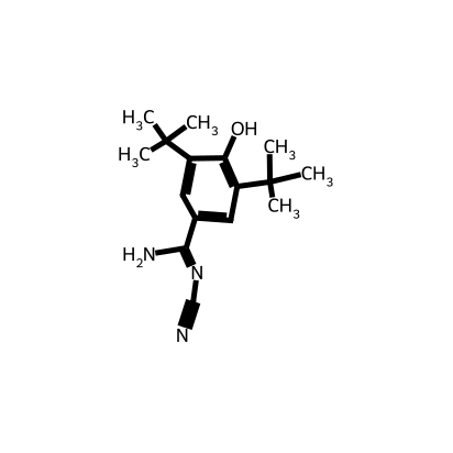 CC(C)(C)c1cc(/C(N)=N/C#N)cc(C(C)(C)C)c1O